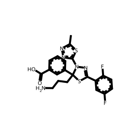 Cc1nnc(N2N=C(c3cc(F)ccc3F)SC2(CCCN)c2cccc(C(=O)O)c2)s1